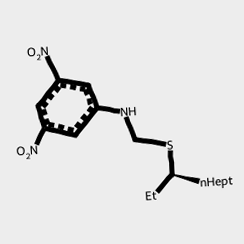 CCCCCCC[C@@H](CC)SCNc1cc([N+](=O)[O-])cc([N+](=O)[O-])c1